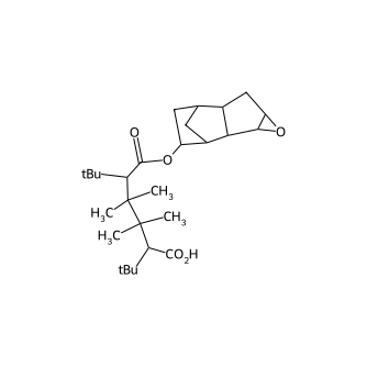 CC(C)(C)C(C(=O)O)C(C)(C)C(C)(C)C(C(=O)OC1CC2CC1C1C2CC2OC21)C(C)(C)C